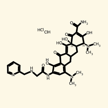 CN(C)c1cc(NC(=O)CNCc2ccccn2)c(O)c2c1CC1CC3[C@H](N(C)C)C(O)=C(C(N)=O)C(=O)[C@@]3(O)C(O)=C1C2=O.Cl.Cl